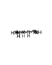 N=NNCCCNCCCNCCCNN=N